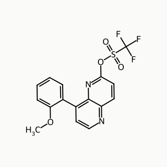 COc1ccccc1-c1ccnc2ccc(OS(=O)(=O)C(F)(F)F)nc12